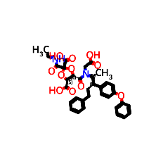 CCNC(=O)C1(C(=O)O)O[C@H](C(=O)O)[C@@H](C(=O)N(CC(=O)O)[C@H](C)[C@H](CCc2ccccc2)c2ccc(Oc3ccccc3)cc2)O1